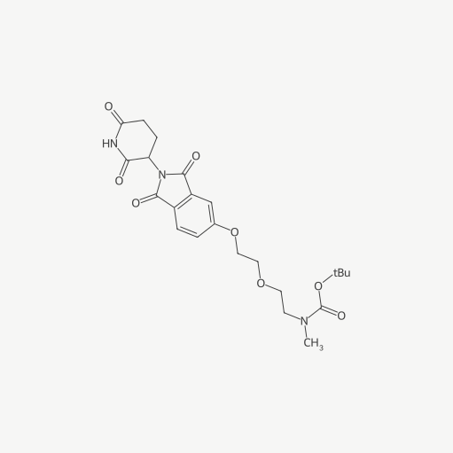 CN(CCOCCOc1ccc2c(c1)C(=O)N(C1CCC(=O)NC1=O)C2=O)C(=O)OC(C)(C)C